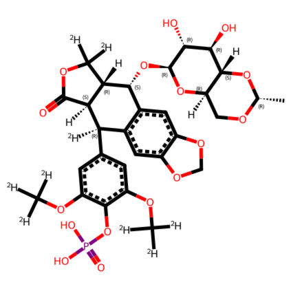 [2H]C([2H])([2H])Oc1cc([C@]2([2H])c3cc4c(cc3[C@@H](O[C@@H]3O[C@@H]5CO[C@@H](C)O[C@H]5[C@H](O)[C@H]3O)[C@@H]3[C@@H]2C(=O)OC3([2H])[2H])OCO4)cc(OC([2H])([2H])[2H])c1OP(=O)(O)O